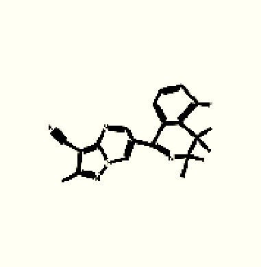 Cc1nn2cc(C3=NC(C)(C)C(C)(C)c4c(F)cccc43)cnc2c1C#N